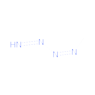 C/N=N\N=N